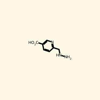 NNCc1ccc(C(=O)O)cn1